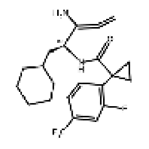 C=C=C(N)[C@H](CC1CCCCC1)NC(=O)C1(c2ccc(C(F)(F)F)cc2F)CC1